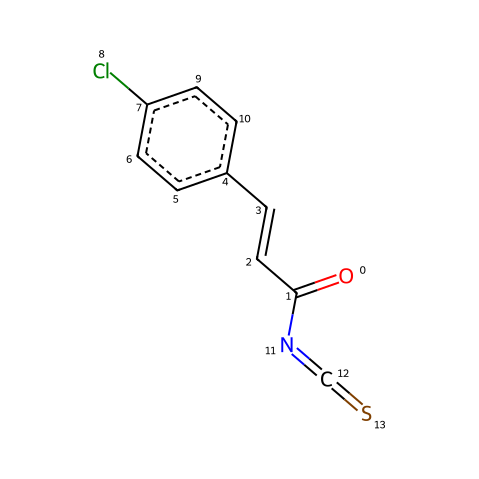 O=C(C=Cc1ccc(Cl)cc1)N=C=S